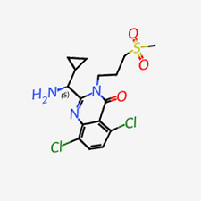 CS(=O)(=O)CCCn1c([C@@H](N)C2CC2)nc2c(Cl)ccc(Cl)c2c1=O